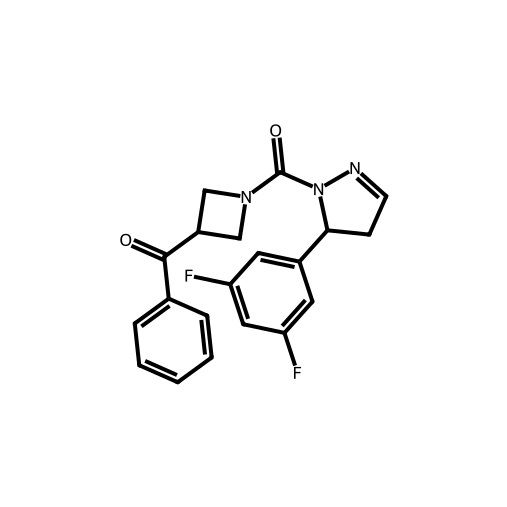 O=C(c1ccccc1)C1CN(C(=O)N2N=CCC2c2cc(F)cc(F)c2)C1